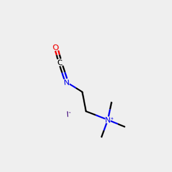 C[N+](C)(C)CCN=C=O.[I-]